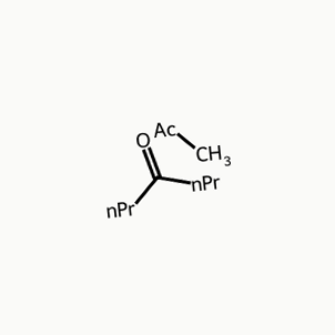 CC(C)=O.CCCC(=O)CCC